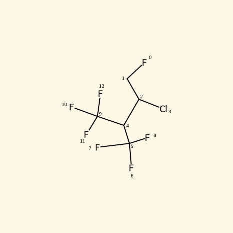 FCC(Cl)C(C(F)(F)F)C(F)(F)F